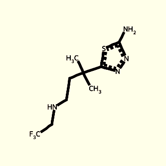 CC(C)(CCNCC(F)(F)F)c1nnc(N)s1